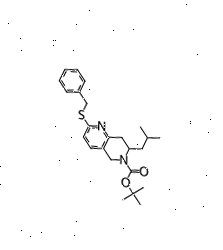 CC(C)CC1Cc2nc(SCc3ccccc3)ccc2CN1C(=O)OC(C)(C)C